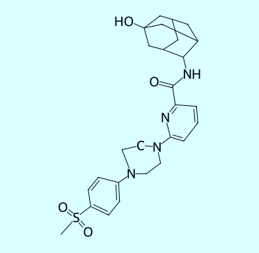 CS(=O)(=O)c1ccc(N2CCN(c3cccc(C(=O)NC4C5CC6CC4CC(O)(C6)C5)n3)CC2)cc1